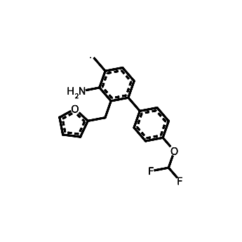 [CH2]c1ccc(-c2ccc(OC(F)F)cc2)c(Cc2ccco2)c1N